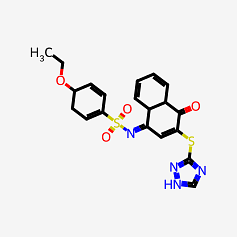 CCOC1C=CC(S(=O)(=O)/N=C2/C=C(Sc3nc[nH]n3)C(=O)C3C=CC=CC23)=CC1